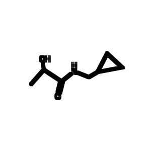 CC(O)C(=O)NCC1CC1